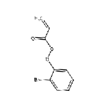 C=CC(=O)OOc1ccccc1Br